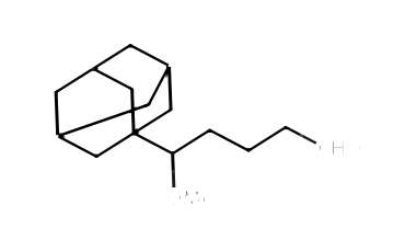 COC(CCCC=O)C12CC3CC(CC(C3)C1)C2